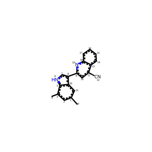 Cc1cc(C)c2[nH]cc(-c3cc(C#N)c4ccccc4n3)c2c1